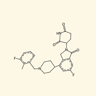 Cc1c(F)cccc1CN1CCC(c2cc(F)cc3c2CN(C2CCC(=O)NC2=O)C3=O)CC1